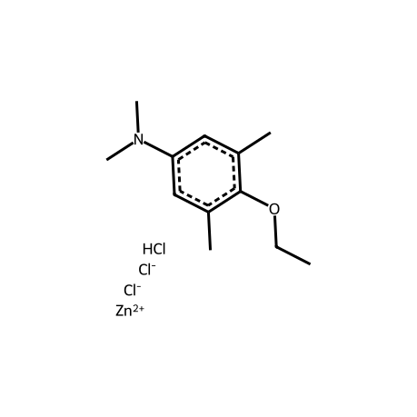 CCOc1c(C)cc(N(C)C)cc1C.Cl.[Cl-].[Cl-].[Zn+2]